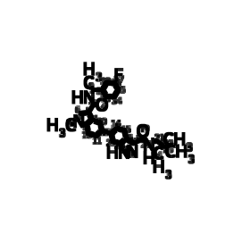 C[C@H](NC(=O)c1cn(C)c2ccc(-c3ccc4c(C(=O)NCC(C)(C)C)n[nH]c4c3)cc12)c1cccc(F)c1